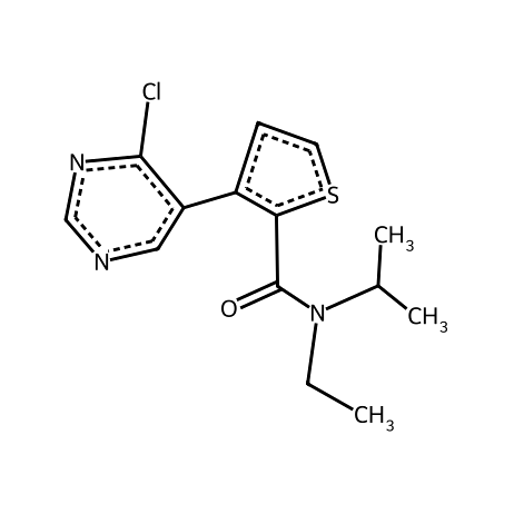 CCN(C(=O)c1sccc1-c1cncnc1Cl)C(C)C